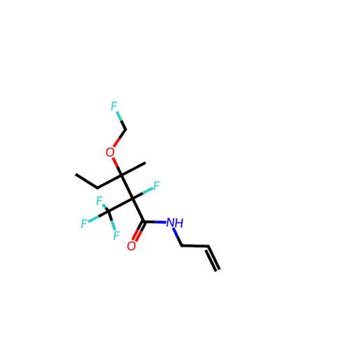 C=CCNC(=O)C(F)(C(F)(F)F)C(C)(CC)OCF